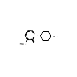 O=c1c(NCl)cccn1[C@H]1CC[C@H](O)CC1